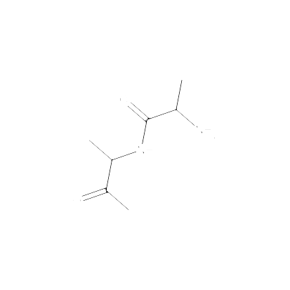 CC(=O)C(C)NC(=O)C(C)N